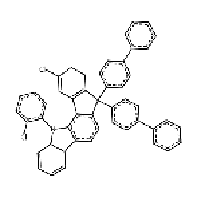 ClC1=CC2=C(CC1)C(c1ccc(-c3ccccc3)cc1)(c1ccc(-c3ccccc3)cc1)c1ccc3c(c12)N(c1ccccc1Cl)C1C=CC=CC31